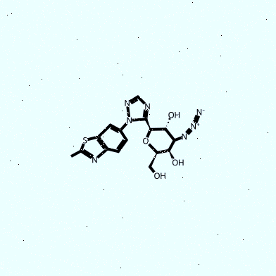 Cc1nc2ccc(-n3ncnc3[C@@H]3O[C@H](CO)[C@H](O)C(N=[N+]=[N-])[C@H]3O)cc2s1